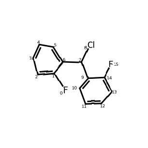 Fc1ccccc1C(Cl)c1ccccc1F